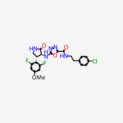 COc1cc(F)c([C@@H]2CNC(=O)[C@H]2Nc2nnc(C(=O)NCCc3ccc(Cl)cc3)o2)c(F)c1